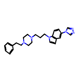 c1ccc(CCN2CCN(CCCn3ccc4cc(-n5cnnc5)ccc43)CC2)cc1